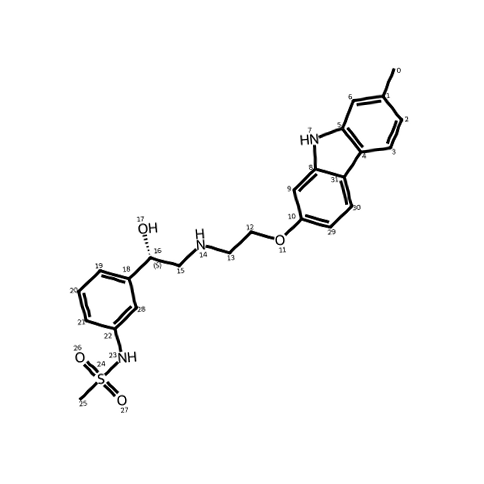 Cc1ccc2c(c1)[nH]c1cc(OCCNC[C@@H](O)c3cccc(NS(C)(=O)=O)c3)ccc12